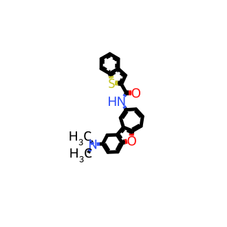 CN(C)C1=CC=c2oc3c(c2C1)C=C(NC(=O)c1cc2ccccc2s1)C=CC=3